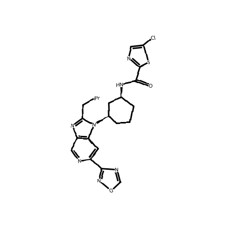 CC(C)Cc1nc2cnc(-c3ncon3)cc2n1[C@@H]1CCC[C@H](NC(=O)c2ncc(Cl)s2)C1